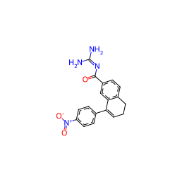 NC(N)=NC(=O)c1ccc2c(c1)C(c1ccc([N+](=O)[O-])cc1)=CCC2